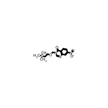 C[Si](C)(C)CCOCn1cnc2cc([N+](=O)[O-])ccc2c1=O